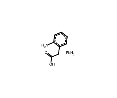 Nc1ccccc1CC(=O)O.[PbH2]